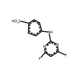 O=S(=O)(O)c1[c]cc(Nc2nc(F)cc(F)n2)cc1